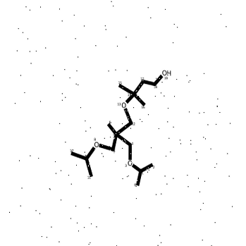 CC(C)OCC(C)(COC(C)C)COC(C)(C)CCO